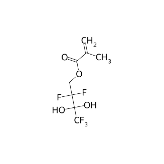 C=C(C)C(=O)OCC(F)(F)C(O)(O)C(F)(F)F